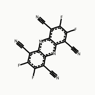 N#Cc1c(F)c(F)c(C#N)c2nc3c(C#N)c(F)c(F)c(C#N)c3nc12